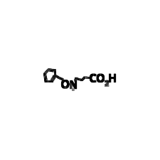 CN(CCCC(=O)O)OCc1ccccc1